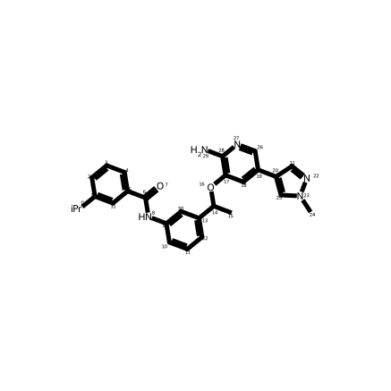 CC(C)c1cccc(C(=O)Nc2cccc(C(C)Oc3cc(-c4cnn(C)c4)cnc3N)c2)c1